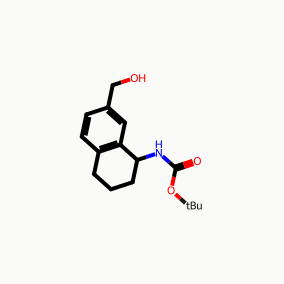 CC(C)(C)OC(=O)NC1CCCc2ccc(CO)cc21